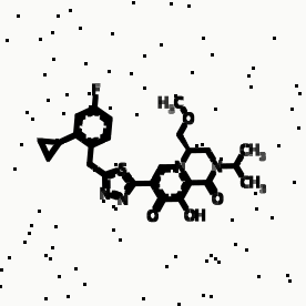 COC[C@H]1CN(C(C)C)C(=O)c2c(O)c(=O)c(-c3nnc(Cc4ccc(F)cc4C4CC4)s3)cn21